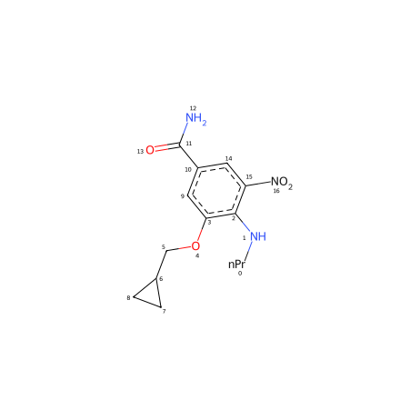 CCCNc1c(OCC2CC2)cc(C(N)=O)cc1[N+](=O)[O-]